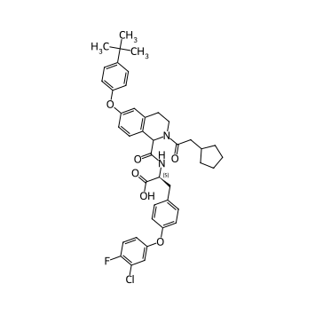 CC(C)(C)c1ccc(Oc2ccc3c(c2)CCN(C(=O)CC2CCCC2)C3C(=O)N[C@@H](Cc2ccc(Oc3ccc(F)c(Cl)c3)cc2)C(=O)O)cc1